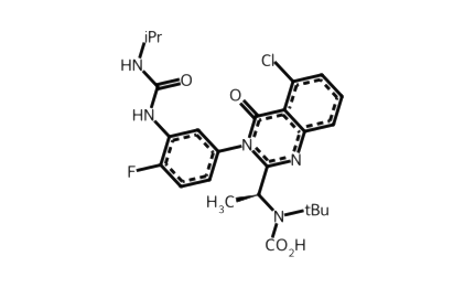 CC(C)NC(=O)Nc1cc(-n2c([C@H](C)N(C(=O)O)C(C)(C)C)nc3cccc(Cl)c3c2=O)ccc1F